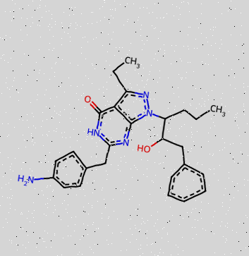 CCCC(C(O)Cc1ccccc1)n1nc(CC)c2c(=O)[nH]c(Cc3ccc(N)cc3)nc21